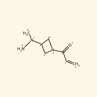 C=CC(=O)N1CC(N(C)N)C1